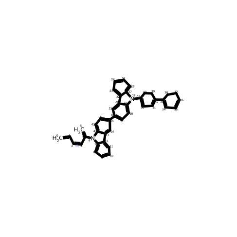 C=C/C=C\C(=C)n1c2ccccc2c2cc(-c3ccc4c(c3)c3ccccc3n4C3=CC=C(C4=CC=CCC4)CC3)ccc21